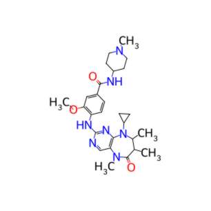 COc1cc(C(=O)NC2CCN(C)CC2)ccc1Nc1ncc2c(n1)N(C1CC1)C(C)C(C)C(=O)N2C